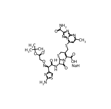 Cc1cc(SCC2=C(C(=O)O)N3C(=O)[C@@H](NC(=O)/C(=N\OCC(=O)OC(C)(C)C)c4csc(N)n4)[C@H]3SC2)n2nc(C(N)=O)nc2n1.[NaH]